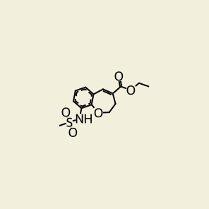 CCOC(=O)C1=Cc2cccc(NS(C)(=O)=O)c2OCC1